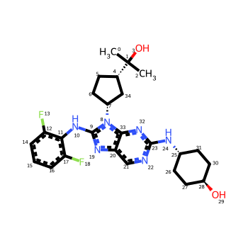 CC(C)(O)[C@H]1CC[C@@H](n2c(Nc3c(F)cccc3F)nc3cnc(N[C@H]4CC[C@H](O)CC4)nc32)C1